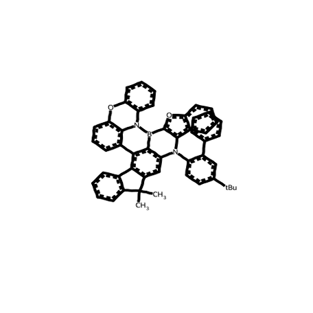 CC(C)(C)c1ccc(N2c3cc4c(c5c3B(c3oc6ccccc6c32)N2c3ccccc3Oc3cccc-5c32)-c2ccccc2C4(C)C)c(-c2ccccc2)c1